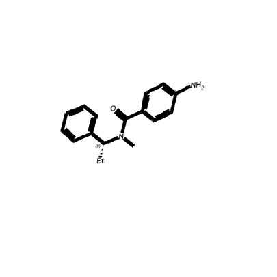 CC[C@H](c1ccccc1)N(C)C(=O)c1ccc(N)cc1